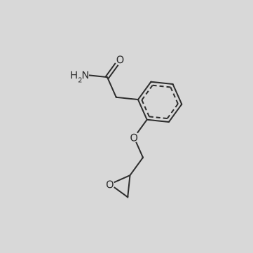 NC(=O)Cc1ccccc1OCC1CO1